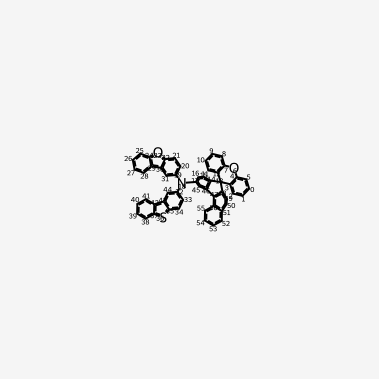 c1ccc2c(c1)Oc1ccccc1C21c2ccc(N(c3ccc4oc5ccccc5c4c3)c3ccc4sc5ccccc5c4c3)cc2-c2c1ccc1ccccc21